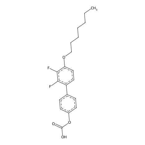 CCCCCCCOc1ccc(-c2ccc(OC(=O)O)cc2)c(F)c1F